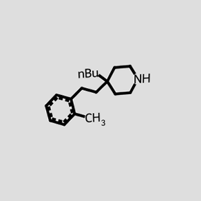 CCCCC1(CCc2ccccc2C)CCNCC1